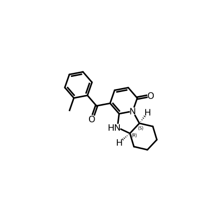 Cc1ccccc1C(=O)c1ccc(=O)n2c1N[C@@H]1CCCC[C@@H]12